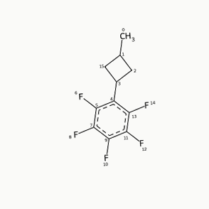 CC1CC(c2c(F)c(F)c(F)c(F)c2F)C1